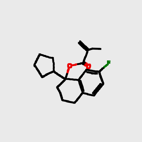 C=C(C)C(=O)OC1(C2CCCC2)CCCc2ccc(F)cc21